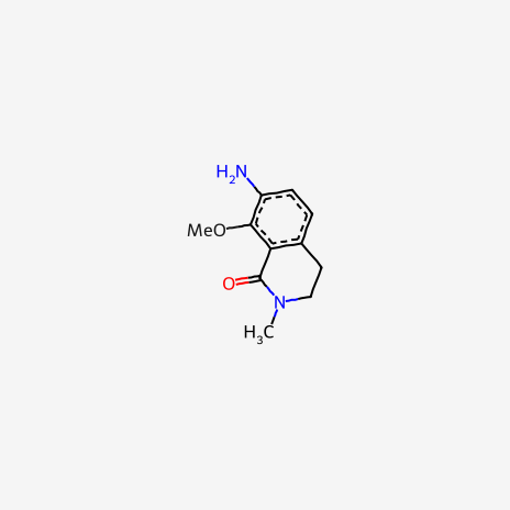 COc1c(N)ccc2c1C(=O)N(C)CC2